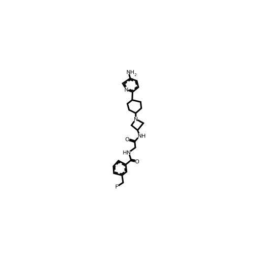 Nc1ccc(C2CCC(N3CC(NC(=O)CNC(=O)c4cccc(CF)c4)C3)CC2)nc1